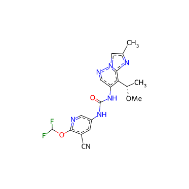 CO[C@@H](C)c1c(NC(=O)Nc2cnc(OC(F)F)c(C#N)c2)cnn2cc(C)nc12